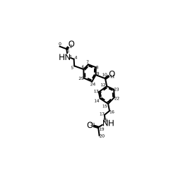 CC(=O)NCCc1ccc(C(=O)c2ccc(CCNC(C)=O)cc2)cc1